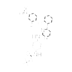 CC(C)(C)OC(=O)NC1CCC(Nc2nccc(-c3ccccc3Oc3ccc([N+](=O)[O-])cc3F)n2)CC1